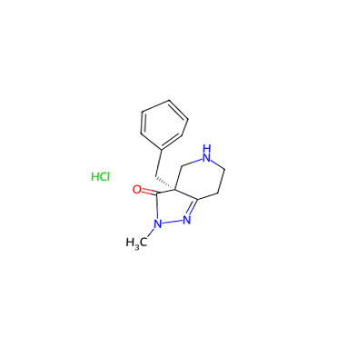 CN1N=C2CCNC[C@]2(Cc2ccccc2)C1=O.Cl